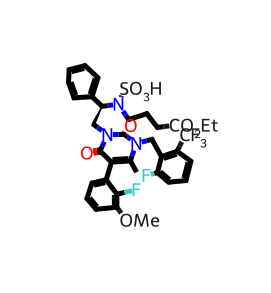 CCOC(=O)CCCN([C@@H](Cn1c(=O)c(-c2cccc(OC)c2F)c(C)n(Cc2c(F)cccc2C(F)(F)F)c1=O)c1ccccc1)S(=O)(=O)O